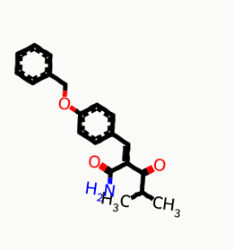 CC(C)C(=O)C(=Cc1ccc(OCc2ccccc2)cc1)C(N)=O